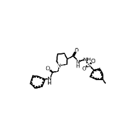 Cc1ccc(S(=O)(=O)NNC(=O)C2CCCN(CC(=O)Nc3ccccc3)C2)cc1